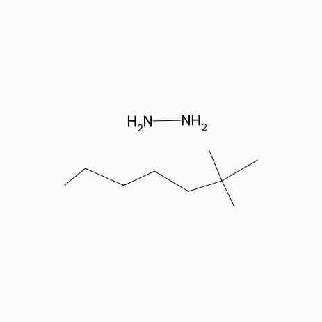 CCCCCC(C)(C)C.NN